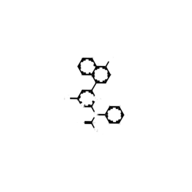 CC(C)c1cc(-c2ccc(F)c3ccccc23)nc(N(C(N)=O)c2ccccc2)n1